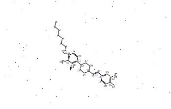 CCCCCCCOc1ccc(C2CCC(/C=C/c3ccc(C)c(F)c3)CC2)c(F)c1F